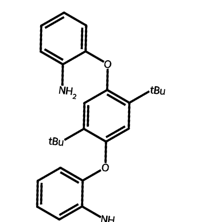 CC(C)(C)c1cc(Oc2ccccc2N)c(C(C)(C)C)cc1Oc1ccccc1N